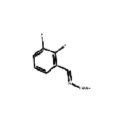 CON=Cc1[c]ccc(F)c1F